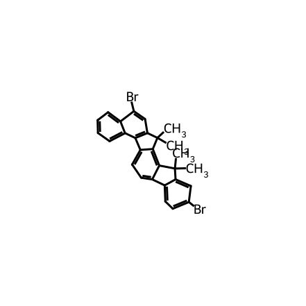 CC1(C)c2cc(Br)ccc2-c2ccc3c(c21)C(C)(C)c1cc(Br)c2ccccc2c1-3